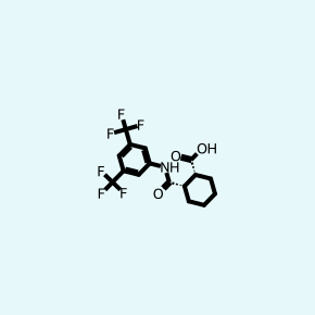 O=C(Nc1cc(C(F)(F)F)cc(C(F)(F)F)c1)[C@H]1CCCC[C@H]1C(=O)O